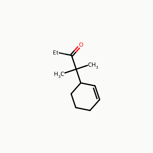 CCC(=O)C(C)(C)C1C=CCCC1